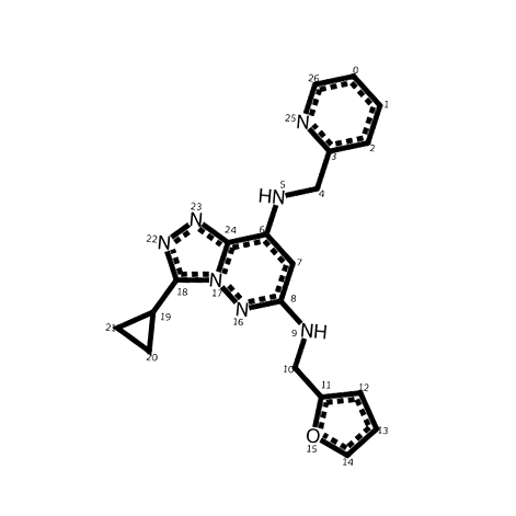 c1ccc(CNc2cc(NCc3ccco3)nn3c(C4CC4)nnc23)nc1